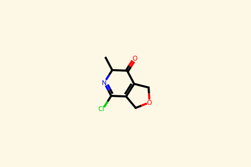 CC1N=C(Cl)C2=C(COC2)C1=O